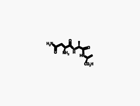 C[C@H](NC(=O)[C@H](C)NC(=O)[C@@H](N)CC(N)=O)C(=O)O